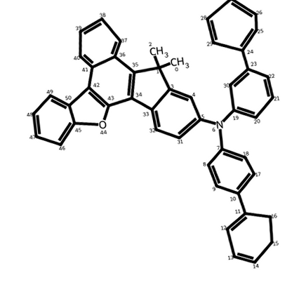 CC1(C)c2cc(N(c3ccc(C4=CC=CCC4)cc3)c3cccc(-c4ccccc4)c3)ccc2-c2c1c1ccccc1c1c2oc2ccccc21